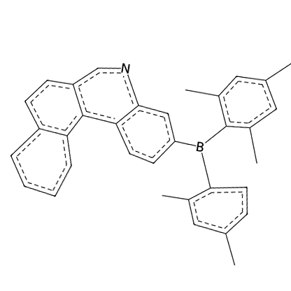 Cc1ccc(B(c2ccc3c(c2)ncc2ccc4ccccc4c23)c2c(C)cc(C)cc2C)c(C)c1